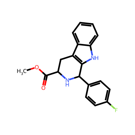 COC(=O)C1Cc2c([nH]c3ccccc23)C(c2ccc(F)cc2)N1